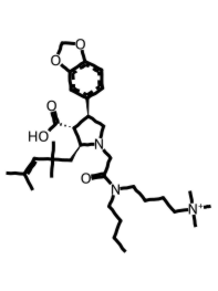 CCCCN(CCCC[N+](C)(C)C)C(=O)CN1C[C@H](c2ccc3c(c2)OCO3)[C@@H](C(=O)O)[C@@H]1CC(C)(C)C=C(C)C